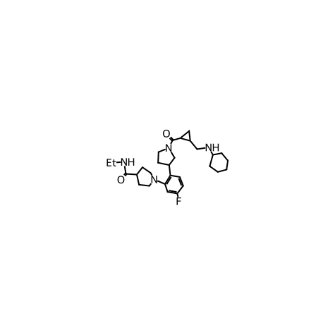 CCNC(=O)C1CCN(c2cc(F)ccc2C2CCN(C(=O)C3CC3CNC3CCCCC3)C2)CC1